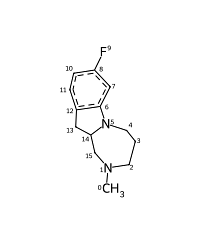 CN1CCCN2c3cc(F)ccc3CC2C1